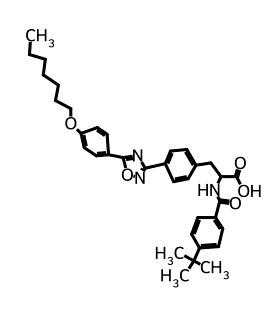 CCCCCCCOc1ccc(-c2nc(-c3ccc(CC(NC(=O)c4ccc(C(C)(C)C)cc4)C(=O)O)cc3)no2)cc1